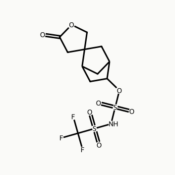 O=C1CC2(CO1)CC1CC2CC1OS(=O)(=O)NS(=O)(=O)C(F)(F)F